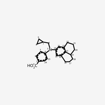 O=C(O)c1ccc(N(CC2CC2)c2cc3c4c(c2)CCCC4CCC3)cc1